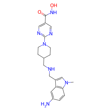 Cn1cc(CNCC2CCN(c3ncc(C(=O)NO)cn3)CC2)c2cc(N)ccc21